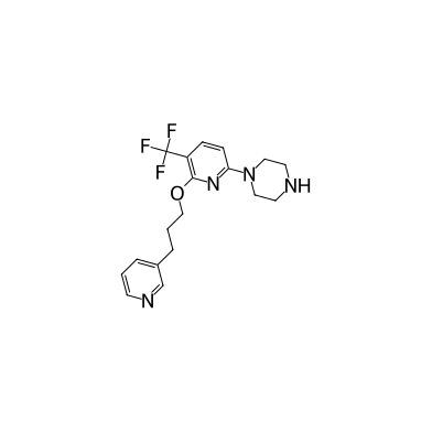 FC(F)(F)c1ccc(N2CCNCC2)nc1OCCCc1cccnc1